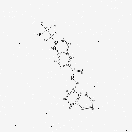 CC(C)(c1ccc2cc(C(=O)NCc3ccnc4ccccc34)ccc2n1)C(F)(F)F